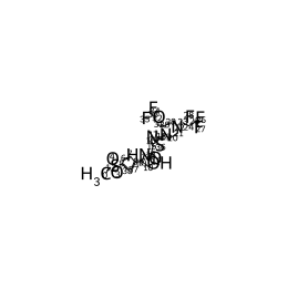 CCS(=O)(=O)c1ccc([C@H](CO)NC(=O)c2cnc(N3CCN(CCC(F)(F)F)CC3COC(F)F)s2)cc1